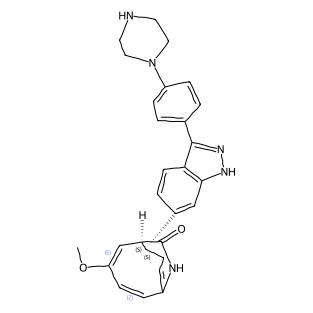 COC1=C/[C@H]2C(=O)NC(=CC[C@@H]2c2ccc3c(-c4ccc(N5CCNCC5)cc4)n[nH]c3c2)/C=C\1